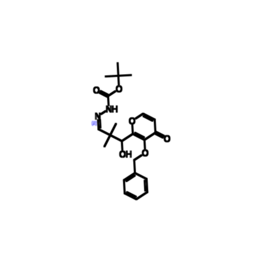 CC(C)(C)OC(=O)N/N=C\C(C)(C)C(O)c1occc(=O)c1OCc1ccccc1